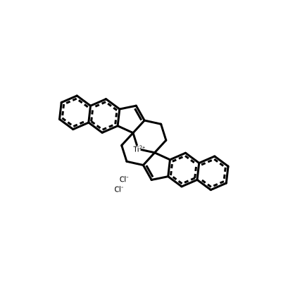 C1=C2CC[C]34[Ti+2][C]2(CCC3=Cc2cc3ccccc3cc24)c2cc3ccccc3cc21.[Cl-].[Cl-]